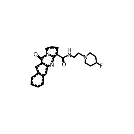 O=C(NCCN1CCC(F)CC1)c1cccn2c(=O)c3cc4ccccc4cc3nc12